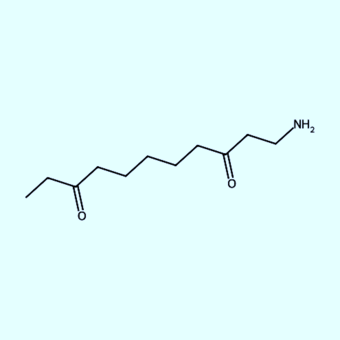 CCC(=O)CCCCCC(=O)CCN